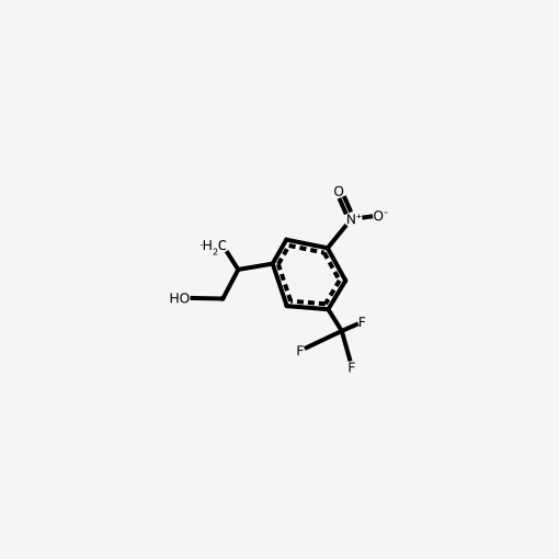 [CH2]C(CO)c1cc([N+](=O)[O-])cc(C(F)(F)F)c1